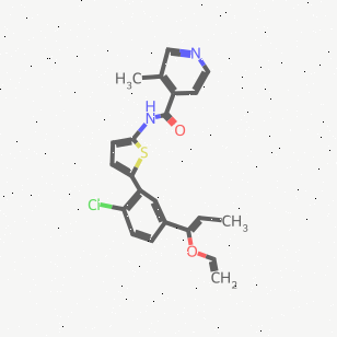 C=CO/C(=C\C)c1ccc(Cl)c(-c2ccc(NC(=O)c3ccncc3C)s2)c1